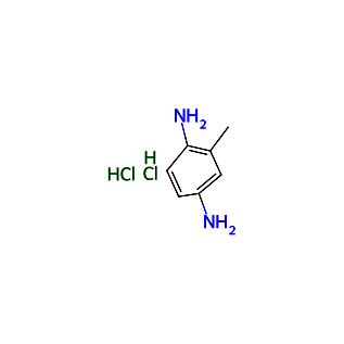 Cc1cc(N)ccc1N.Cl.Cl